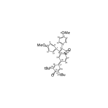 COc1ccc(C2=C(c3ccc(OC)cc3)C3=CC(=C4C=C(C(C)(C)C)C(=O)C(C(C)(C)C)=C4)C=CN3C2=O)cc1